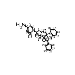 Nc1ccn([C@H]2C[C@H](OC(=O)c3ccccc3)[C@@](F)(COC(=O)c3ccccc3)O2)c(=O)n1